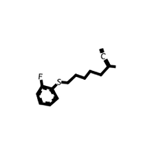 C=C=C(C)CCCCCSc1ccccc1F